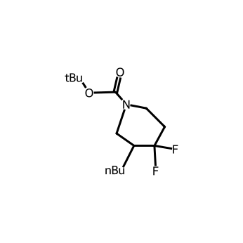 CCCCC1CN(C(=O)OC(C)(C)C)CCC1(F)F